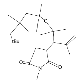 C=C(C)C(C1CC(=O)N(C)C1=O)C(C)(C)CC(C)(C)CC(C)(C)CC(C)(C)C